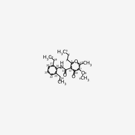 CCCc1oc(C)c(OC)c(=O)c1C(=O)Nc1c(CC)cccc1CC